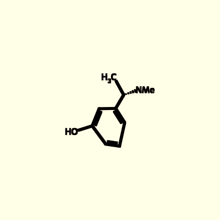 CN[C@@H](C)c1cccc(O)c1